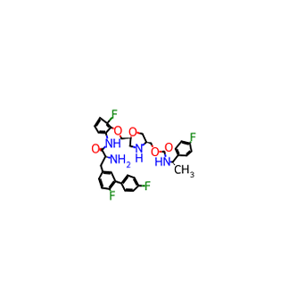 C[C@H](NC(=O)OC[C@@H]1CO[C@H](COc2c(F)cccc2NC(=O)[C@@H](N)Cc2ccc(F)c(-c3ccc(F)cc3)c2)CN1)c1ccc(F)cc1